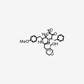 COc1ccc(C[C@H](NC(=O)CN2CCOC[C@@H]2CO)C(=O)N[C@@H](Cc2ccccc2)C(=O)[C@@]2(C)CO2)cc1